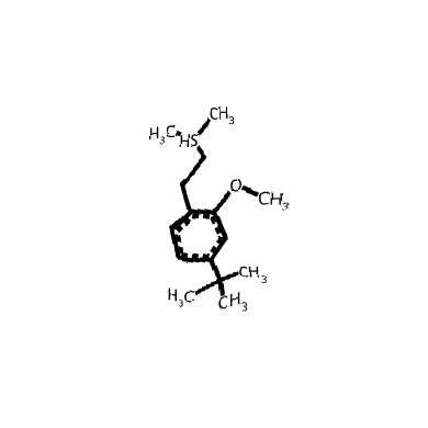 COc1cc(C(C)(C)C)ccc1CC[SH](C)C